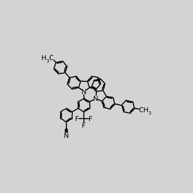 Cc1ccc(-c2ccc3c(c2)c2ccccc2n3-c2cc(-c3cccc(C#N)c3)c(C(F)(F)F)cc2-n2c3ccccc3c3cc(-c4ccc(C)cc4)ccc32)cc1